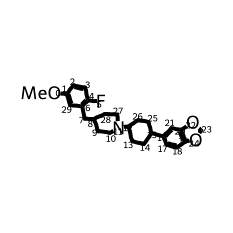 COc1ccc(F)c(CC2CCN(C3CCC(c4ccc5c(c4)OCO5)CC3)CC2)c1